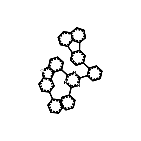 c1ccc(-c2ccc3oc4cccc(-c5nc(-c6ccccc6)nc(-c6ccccc6-c6ccc7c(c6)-c6cccc8cccc-7c68)n5)c4c3c2)cc1